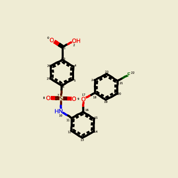 O=C(O)c1ccc(S(=O)(=O)Nc2ccccc2Oc2ccc(F)cc2)cc1